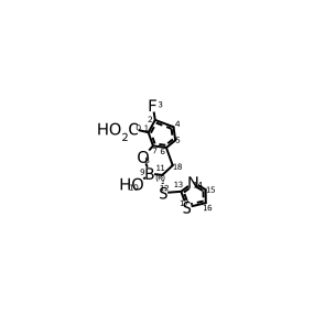 O=C(O)c1c(F)ccc2c1OB(O)[C@@H](Sc1nccs1)C2